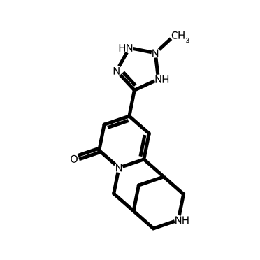 CN1NN=C(c2cc3n(c(=O)c2)CC2CNCC3C2)N1